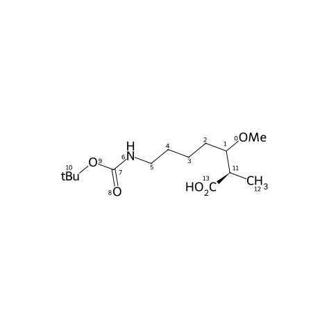 COC(CCCCNC(=O)OC(C)(C)C)[C@@H](C)C(=O)O